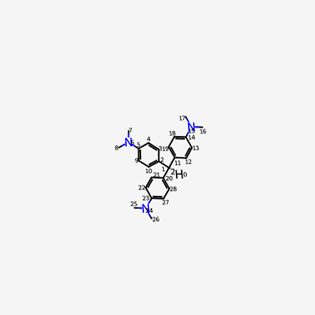 [2H]C(c1ccc(N(C)C)cc1)(c1ccc(N(C)C)cc1)c1ccc(N(C)C)cc1